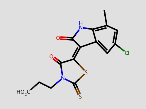 Cc1cc(Cl)cc2c1NC(=O)/C2=C1/SC(=S)N(CCC(=O)O)C1=O